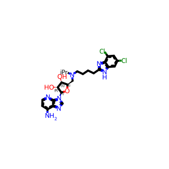 CC(C)N(CCCCc1nc2c(Cl)cc(Cl)cc2[nH]1)C[C@H]1O[C@@H](n2cnc3c(N)ccnc32)[C@H](O)[C@@H]1O